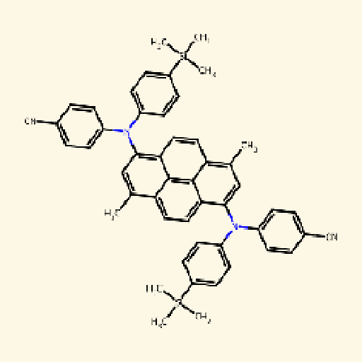 [C-]#[N+]c1ccc(N(c2ccc([Si](C)(C)C)cc2)c2cc(C)c3ccc4c(N(c5ccc(C#N)cc5)c5ccc([Si](C)(C)C)cc5)cc(C)c5ccc2c3c54)cc1